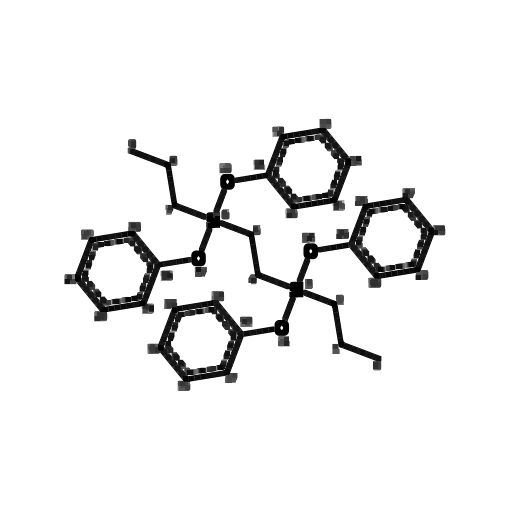 CCC[Si](CC[Si](CCC)(Oc1ccccc1)Oc1ccccc1)(Oc1ccccc1)Oc1ccccc1